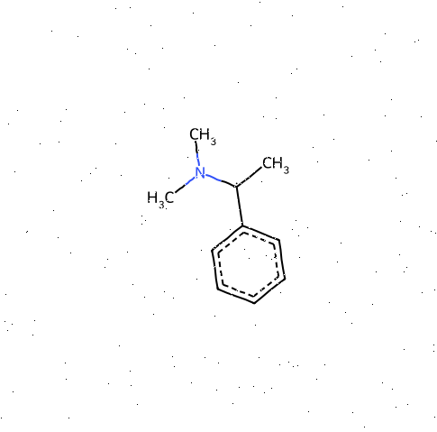 C[C](c1ccccc1)N(C)C